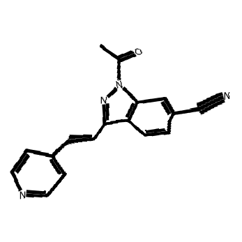 CC(=O)n1nc(C=Cc2ccncc2)c2ccc(C#N)cc21